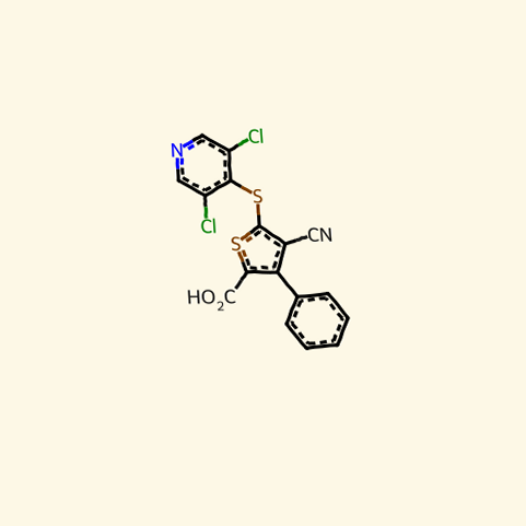 N#Cc1c(Sc2c(Cl)cncc2Cl)sc(C(=O)O)c1-c1ccccc1